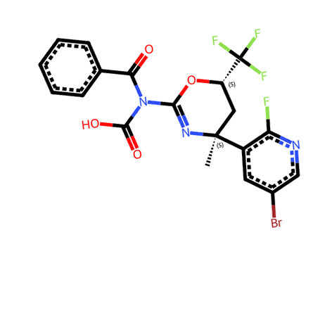 C[C@@]1(c2cc(Br)cnc2F)C[C@@H](C(F)(F)F)OC(N(C(=O)O)C(=O)c2ccccc2)=N1